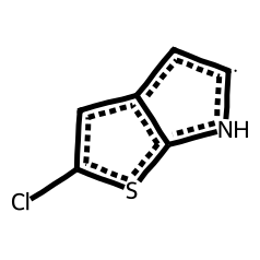 Clc1cc2c[c][nH]c2s1